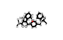 Cc1nc2ncccc2n1Cc1ccc(C(=O)c2c(C(=O)N(C)C)[nH]c3cccc(Cl)c23)cc1